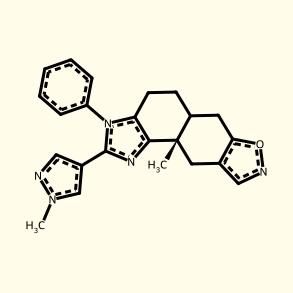 Cn1cc(-c2nc3c(n2-c2ccccc2)CCC2Cc4oncc4C[C@]32C)cn1